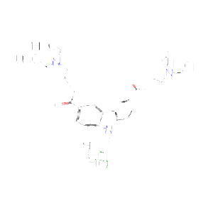 CCN(CC)CCCC(=O)c1ccc2c(c1)c1cc(C(=O)CCCN(CC)CC)ccc1n2CC.Cl.Cl